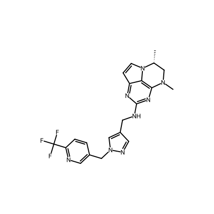 C[C@@H]1CN(C)c2nc(NCc3cnn(Cc4ccc(C(F)(F)F)nc4)c3)nc3ccn1c23